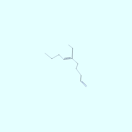 C=CCCCC(=CCCC)CC